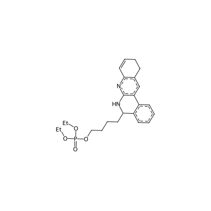 CCOP(=O)(OCC)OCCCCC1Nc2nc3c(cc2-c2ccccc21)CCC=C3